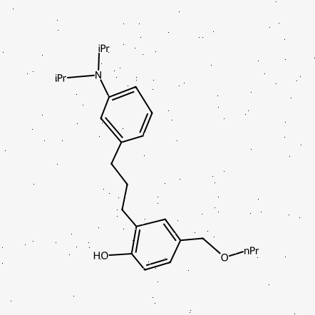 CCCOCc1ccc(O)c(CCCc2cccc(N(C(C)C)C(C)C)c2)c1